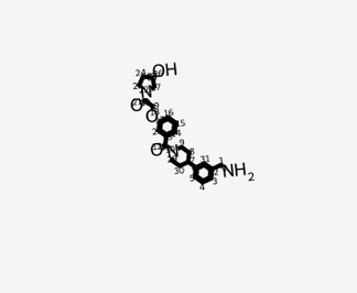 NCc1cccc(C2CCN(C(=O)c3cccc(OCC(=O)N4CC[C@H](O)C4)c3)CC2)c1